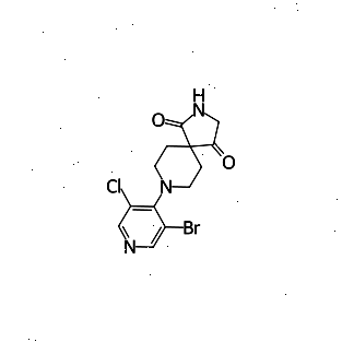 O=C1CNC(=O)C12CCN(c1c(Cl)cncc1Br)CC2